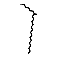 [CH2]CCCCCC(C)CCCCCCCCCCCCCCC